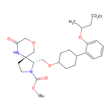 CCOC(=O)CC(C)Oc1ccccc1C1CCC(OC[C@@H]2N(C(=O)OC(C)(C)C)CC[C@@]23COCC(=O)N3)CC1